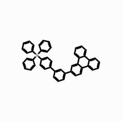 c1ccc([Si](c2ccccc2)(c2ccccc2)c2ccc(-c3cccc(-c4ccc5c6ccccc6c6ccccc6c5c4)c3)cc2)cc1